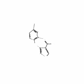 Cc1ccc2c(c1)N=C(Cl)c1cscc1O2